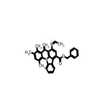 C=c1c2c(C)c(C)cc(C)c2n2c3ccccc3c3c(C(=O)OCc4ccccc4)cc(/N=C\C)c1c32